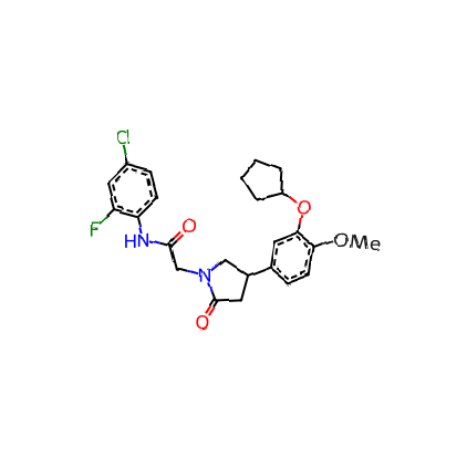 COc1ccc(C2CC(=O)N(CC(=O)Nc3ccc(Cl)cc3F)C2)cc1OC1CCCC1